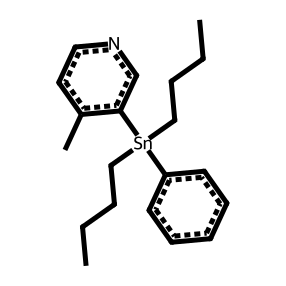 CCC[CH2][Sn]([CH2]CCC)([c]1ccccc1)[c]1cnccc1C